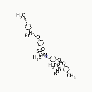 CC#Cc1ccc(N(CC)CCOc2ccc(O[PH](=S)N(C)/N=C/c3ccc(OP(Oc4ccc(C)cc4)P(P)N=[N+]=[N-])cc3)cc2)cc1